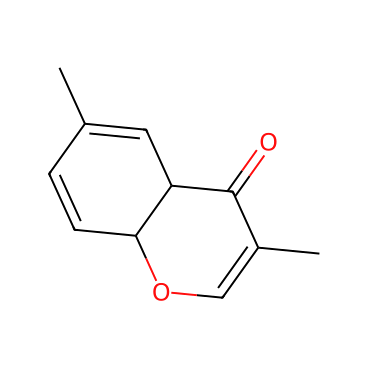 CC1=CC2C(=O)C(C)=COC2C=C1